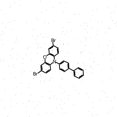 Brc1ccc2c(c1)Oc1cc(Br)ccc1N2c1ccc(-c2ccccc2)cc1